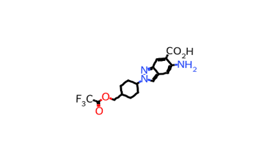 Nc1cc2cn(C3CCC(COC(=O)C(F)(F)F)CC3)nc2cc1C(=O)O